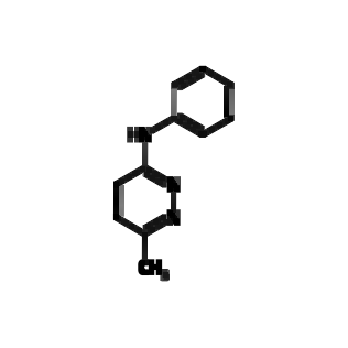 Cc1ccc(Nc2ccccc2)nn1